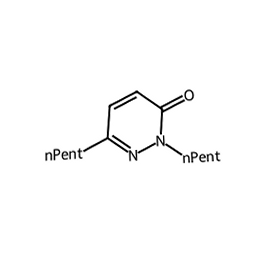 CCCCCc1ccc(=O)n(CCCCC)n1